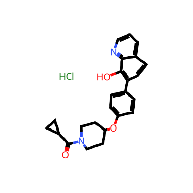 Cl.O=C(C1CC1)N1CCC(Oc2ccc(-c3ccc4cccnc4c3O)cc2)CC1